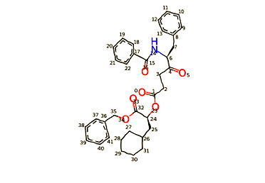 O=C(CCC(=O)[C@H](Cc1ccccc1)NC(=O)c1ccccc1)O[C@@H](CC1CCCCC1)C(=O)OCc1ccccc1